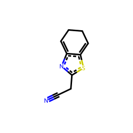 N#CCc1nc2c(s1)=CCCC=2